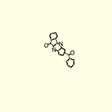 O=C(c1ccccc1)c1ccc2nc3c(nc2c1)-c1ccccc1C3=O